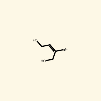 CCCC(=CCC(C)C)CO